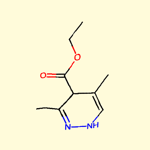 CCOC(=O)C1C(C)=CNN=C1C